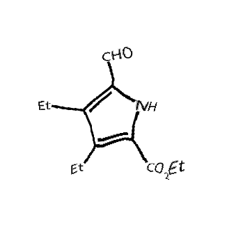 CCOC(=O)c1[nH]c(C=O)c(CC)c1CC